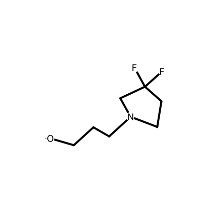 [O]CCCN1CCC(F)(F)C1